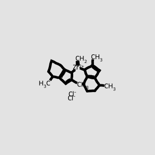 [CH2]=[Zr+2]([CH]1C(C)=CC2=C1CCCC2C)[CH]1C(C)=CC2=C1CCCC2C.[Cl-].[Cl-]